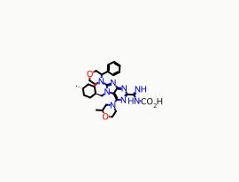 CC1CN(c2nc(C(=N)NC(=O)O)nc3nc(N4CCOCC4c4ccccc4)n(C[C@H]4CC[C@H](C)CC4)c23)CCO1